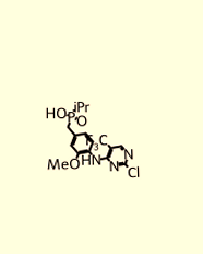 COc1cc(CP(=O)(O)C(C)C)ccc1Nc1nc(Cl)ncc1C(F)(F)F